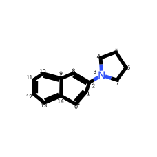 [c]1cc(N2CCCC2)cc2ccccc12